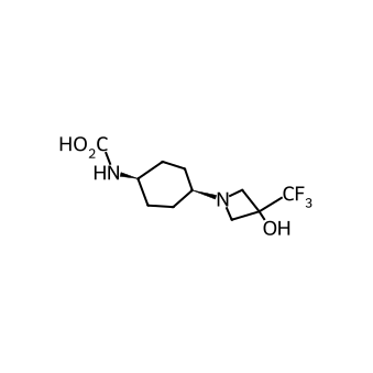 O=C(O)N[C@H]1CC[C@@H](N2CC(O)(C(F)(F)F)C2)CC1